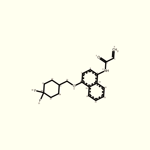 C=CC(=O)Nc1ccc(OCC2CCC(F)(F)CC2)c2ccccc12